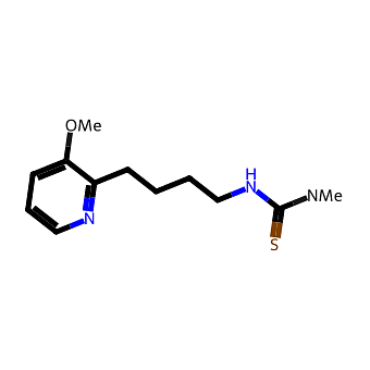 CNC(=S)NCCCCc1ncccc1OC